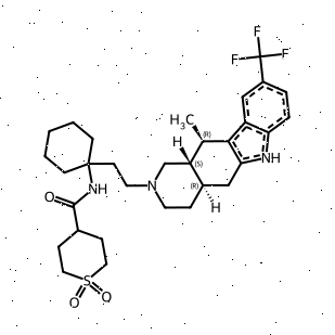 C[C@H]1c2c([nH]c3ccc(C(F)(F)F)cc23)C[C@H]2CCN(CCC3(NC(=O)C4CCS(=O)(=O)CC4)CCCCC3)C[C@@H]21